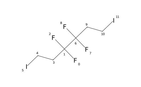 FC(F)(CCI)C(F)(F)CCI